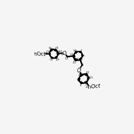 CCCCCCCCc1ccc(OCc2cccc(COc3ccc(CCCCCCCC)cc3)c2)cc1